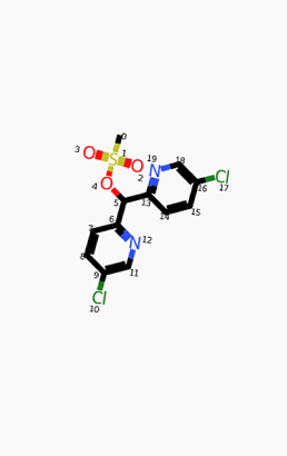 CS(=O)(=O)OC(c1ccc(Cl)cn1)c1ccc(Cl)cn1